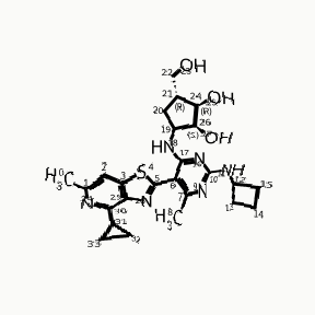 Cc1cc2sc(-c3c(C)nc(NC4CCC4)nc3NC3C[C@H](CO)[C@@H](O)[C@H]3O)nc2c(C2CC2)n1